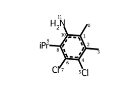 Cc1c(C)c(Cl)c(Cl)c(C(C)C)c1N